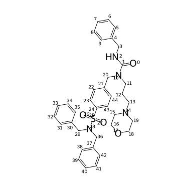 O=C(NCc1ccccc1)N(CCCN1CCOCC1)Cc1ccc(S(=O)(=O)N(Cc2ccccc2)Cc2ccccc2)cc1